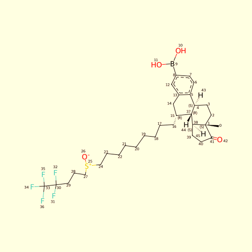 C[C@]12CC[C@@H]3c4ccc(B(O)O)cc4C[C@@H](CCCCCCCCC[S+]([O-])CCCC(F)(F)C(F)(F)F)[C@H]3[C@@H]1CCC2=O